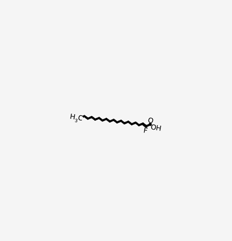 CCCCCCCCCCCCCCCCC/C=C(\F)C(=O)O